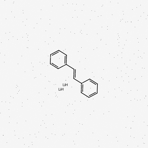 C(=C\c1ccccc1)/c1ccccc1.[LiH].[LiH]